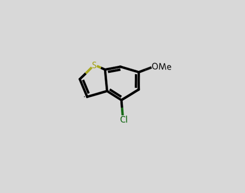 COc1cc(Cl)c2[c]csc2c1